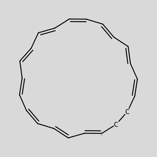 [C]1=C/C=C/C=C\C=C\C=C\C=C\C=C/C=C/C=C/C=C\CC/1